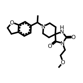 COCCN1C(=O)NC2(CCN(C(C)c3ccc4c(c3)OCC4)CC2)C1=O